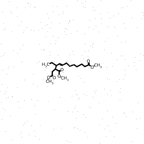 CCC(/C=C/CCCCCCC(=O)OC)C(CC(=O)OC)C(=O)OC